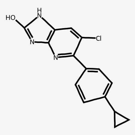 Oc1nc2nc(-c3ccc(C4CC4)cc3)c(Cl)cc2[nH]1